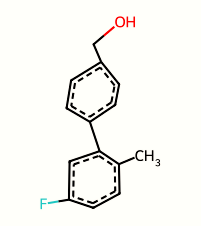 Cc1ccc(F)cc1-c1ccc(CO)cc1